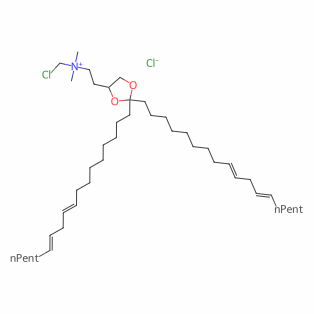 CCCCCC=CCC=CCCCCCCCCC1(CCCCCCCCC=CCC=CCCCCC)OCC(CC[N+](C)(C)CCl)O1.[Cl-]